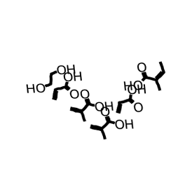 C=C(C)C(=O)O.C=C(C)C(=O)O.C=CC(=O)O.C=CC(=O)O.CC=C(C)C(=O)O.OCCO